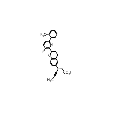 CC#CC(CC(=O)O)c1ccc2c(c1)CCC(c1nc(-c3ccccc3C(F)(F)F)ccc1F)O2